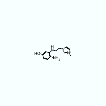 C[n+]1ccn(CCNc2cc(O)ccc2N)c1